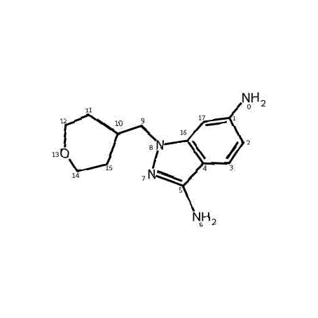 Nc1ccc2c(N)nn(CC3CCOCC3)c2c1